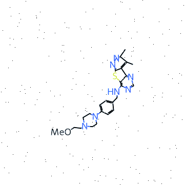 COCCN1CCN(c2ccc(CNc3ncnc4c3sc3nnc(C)c(C)c34)cc2)CC1